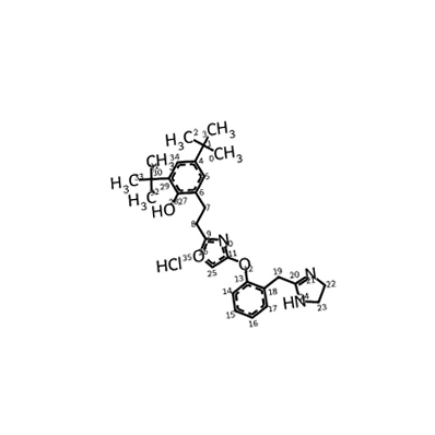 CC(C)(C)c1cc(CCc2nc(Oc3ccccc3CC3=NCCN3)co2)c(O)c(C(C)(C)C)c1.Cl